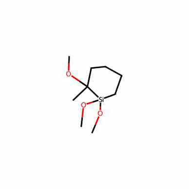 COC1(C)CCCC[Si]1(OC)OC